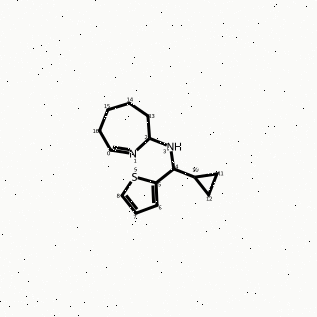 C1=NC(NC(c2cccs2)C2CC2)CCCC1